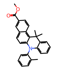 COC(=O)c1ccc2c3c(ccc2c1)N(c1ccccc1C)c1ccccc1C3(C)C